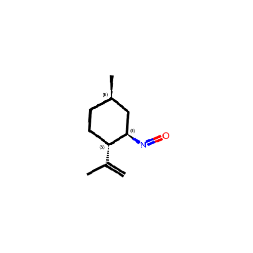 C=C(C)[C@@H]1CC[C@@H](C)C[C@H]1N=O